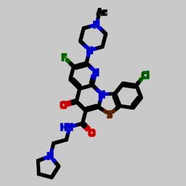 CC(=O)N1CCN(c2nc3c(cc2F)c(=O)c(C(=O)NCCN2CCCC2)c2sc4ccc(Cl)cc4n23)CC1